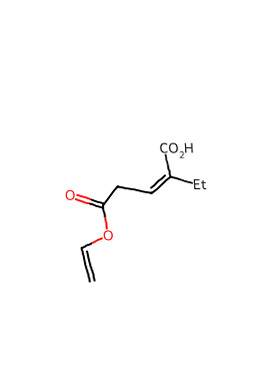 C=COC(=O)CC=C(CC)C(=O)O